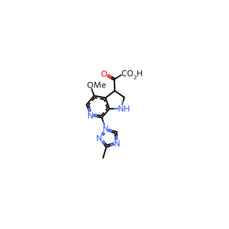 COc1cnc(-n2cnc(C)n2)c2c1C(C(=O)C(=O)O)CN2